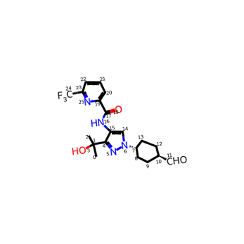 CC(C)(O)c1nn([C@H]2CC[C@H](C=O)CC2)cc1NC(=O)c1cccc(C(F)(F)F)n1